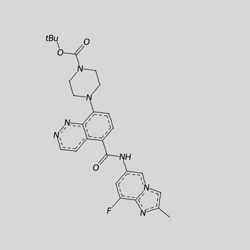 Cc1cn2cc(NC(=O)c3ccc(N4CCN(C(=O)OC(C)(C)C)CC4)c4nnccc34)cc(F)c2n1